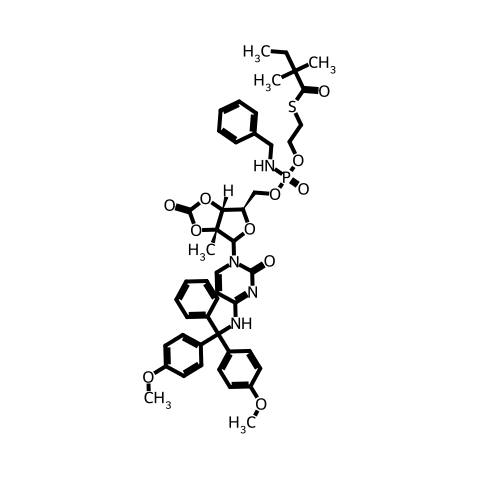 CCC(C)(C)C(=O)SCCOP(=O)(NCc1ccccc1)OC[C@H]1OC(n2ccc(NC(c3ccccc3)(c3ccc(OC)cc3)c3ccc(OC)cc3)nc2=O)[C@]2(C)OC(=O)O[C@H]12